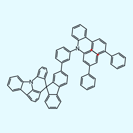 c1ccc(-c2ccc(-c3ccccc3N(c3cccc(-c4ccccc4)c3)c3cccc(-c4ccc5c(c4)C4(c6ccccc6-5)c5ccccc5-n5c6ccccc6c6cccc4c65)c3)cc2)cc1